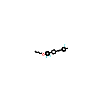 C=CCCCOc1ccc(C2CCC(C#Cc3ccc(C)c(F)c3)CC2)c(F)c1F